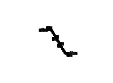 CCCCCCC(O)C/C=C\CCCCCCCC(=O)NCCCCNC(=O)CCCCCCC/C=C\CC(O)CCCCCC